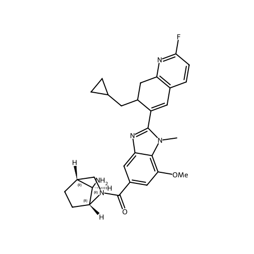 COc1cc(C(=O)N2C[C@H]3CC[C@@H]2[C@@H]3N)cc2nc(C3=Cc4ccc(F)nc4CC3CC3CC3)n(C)c12